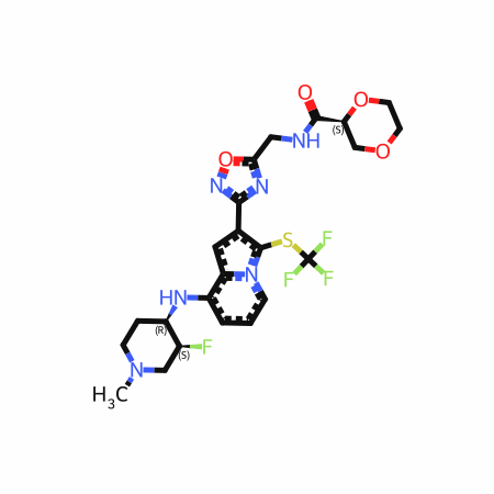 CN1CC[C@@H](Nc2cccn3c(SC(F)(F)F)c(-c4noc(CNC(=O)[C@@H]5COCCO5)n4)cc23)[C@@H](F)C1